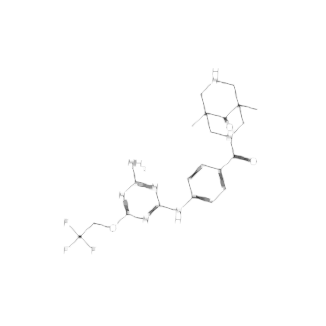 CC12CNCC(C)(CN(C(=O)c3ccc(Nc4nc(N)nc(OCC(F)(F)F)n4)cc3)C1)C2=O